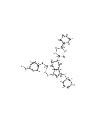 COc1ccc(CN2CCc3nn(Cc4ccccc4)c4cc(N5CCN(c6cnccn6)CC5)nc2c34)cc1